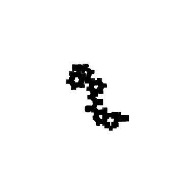 N=C(N)Nc1cccc(C(=O)NCc2cccc(C(CC(=O)O)c3ccccc3)c2)c1